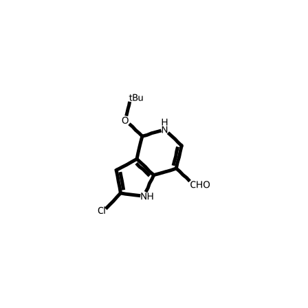 CC(C)(C)OC1NC=C(C=O)c2[nH]c(Cl)cc21